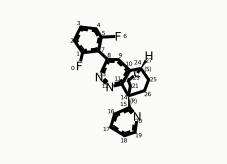 Fc1cccc(F)c1-c1cc2c(nn1)[C@]1(c3ccccn3)CCC[C@H]2CC1